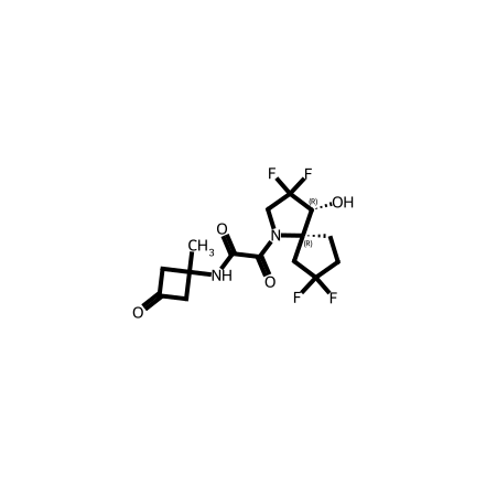 CC1(NC(=O)C(=O)N2CC(F)(F)[C@H](O)[C@]23CCC(F)(F)C3)CC(=O)C1